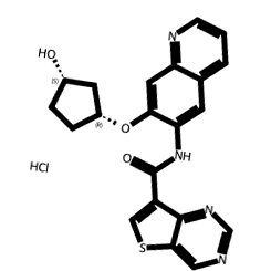 Cl.O=C(Nc1cc2cccnc2cc1O[C@@H]1CC[C@H](O)C1)c1csc2cncnc12